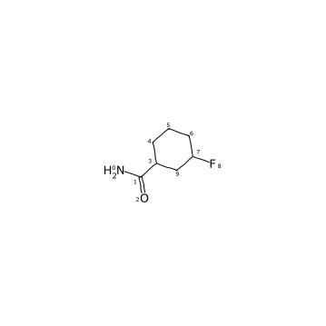 NC(=O)C1CCCC(F)C1